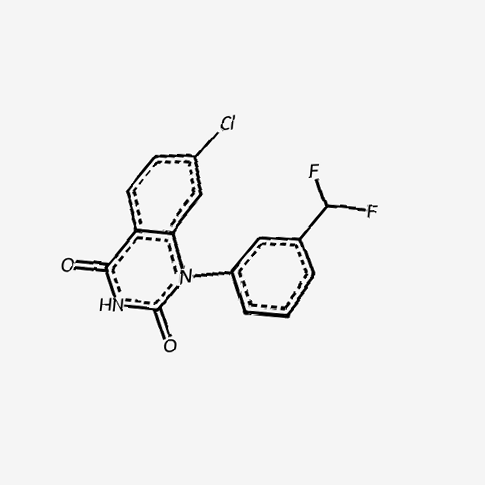 O=c1[nH]c(=O)n(-c2cccc(C(F)F)c2)c2cc(Cl)ccc12